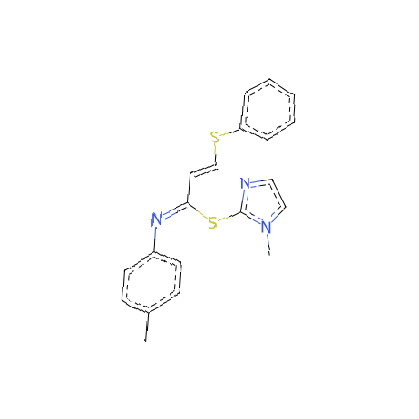 Cc1ccc(N=C(C=CSc2ccccc2)Sc2nccn2C)cc1